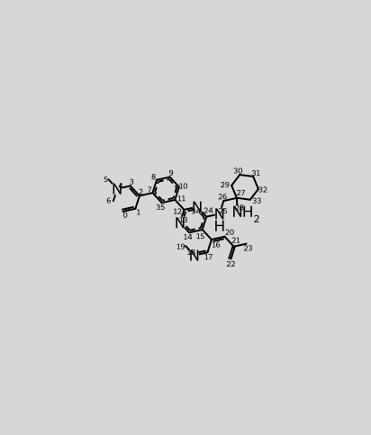 C=C/C(=C\N(C)C)c1cccc(-c2ncc(C(/C=N\C)=C/C(=C)C)c(NCC3(N)CCCCC3)n2)c1